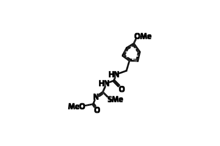 COC(=O)/N=C(/NC(=O)NCc1ccc(OC)cc1)SC